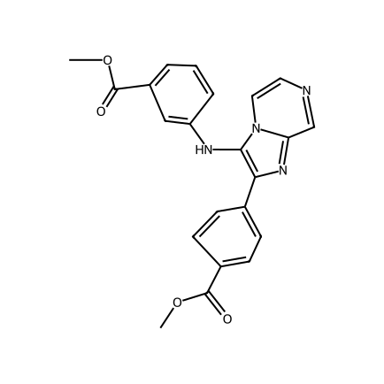 COC(=O)c1ccc(-c2nc3cnccn3c2Nc2cccc(C(=O)OC)c2)cc1